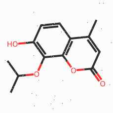 Cc1cc(=O)oc2c(OC(C)C)c(O)ccc12